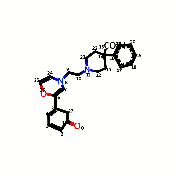 O=C1C=CC=C(C2=CN(CCN3CCC(C(=O)O)(c4ccccc4)CC3)C=CO2)C1